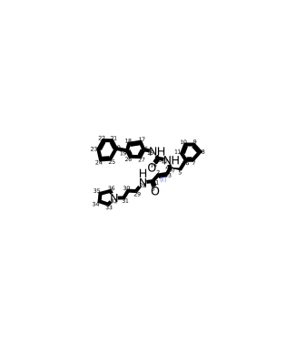 O=C(/C=C/[C@H](Cc1ccccc1)NC(=O)Nc1ccc(-c2ccccc2)cc1)NCCCN1CCCC1